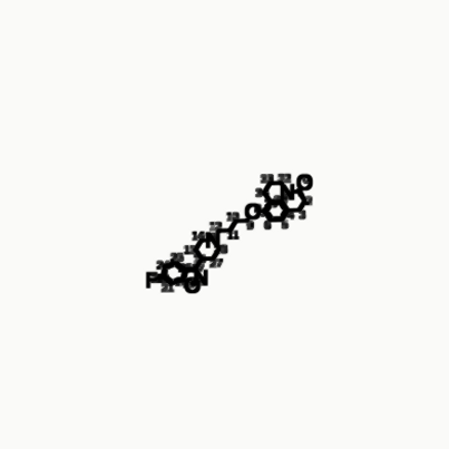 O=C1CCc2ccc(OCCCCN3CCC(c4noc5cc(F)ccc45)CC3)c3c2N1CCC3